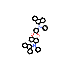 c1ccc(N(c2ccc3c(c2)Oc2ccc(N(c4ccccc4)c4cc5ccccc5c5ccccc45)c4cccc(c24)O3)c2cc3ccccc3c3ccccc23)cc1